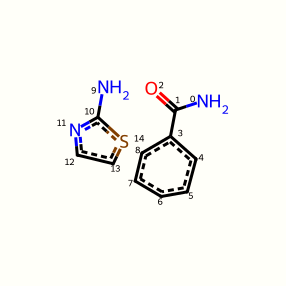 NC(=O)c1ccccc1.Nc1nccs1